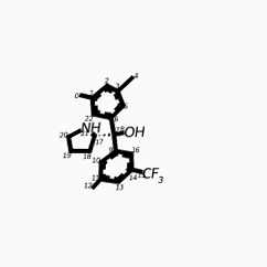 Cc1cc(C)cc(C(O)(c2cc(C)cc(C(F)(F)F)c2)[C@@H]2CCCN2)c1